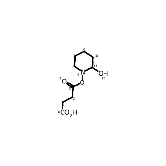 O=C(O)CCC(=O)ON1CCCCC1O